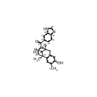 Cc1cc2c(cc1O)C[C@H]1N(C(=O)c3ccc4nc[nH]c4c3)CC[C@]2(C)C1(C)C